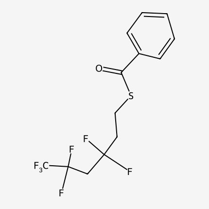 O=C(SCCC(F)(F)CC(F)(F)C(F)(F)F)c1ccccc1